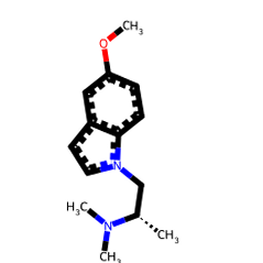 COc1ccc2c(ccn2C[C@H](C)N(C)C)c1